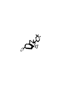 C=O.CN1CCC(c2nc3cc(Cl)ccc3s2)CC1(C)C